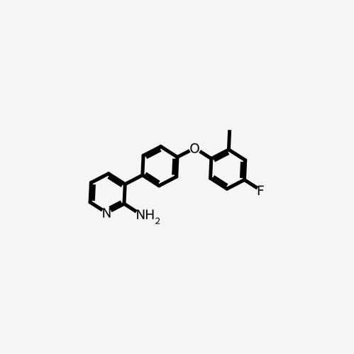 Cc1cc(F)ccc1Oc1ccc(-c2cccnc2N)cc1